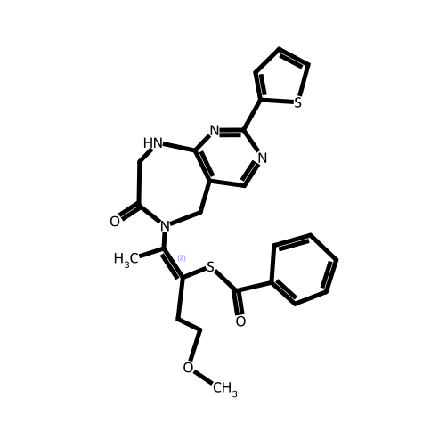 COCC/C(SC(=O)c1ccccc1)=C(\C)N1Cc2cnc(-c3cccs3)nc2NCC1=O